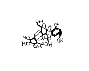 COc1cc(CO)ccc1OC1OC(CO)C(OC2CC(CO)C(O)C(O)C2O)C(O)C1O